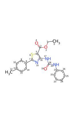 CCOC(=O)c1sc(-c2ccc(C)cc2)nc1NC(=O)Nc1ccccc1